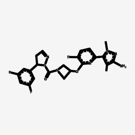 Cc1c(N)nn(C)c1-c1ccc(F)c(OC2CN(C(=O)N3N=CCC3c3cc(F)cc(F)c3)C2)n1